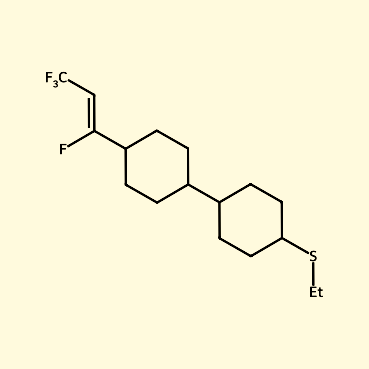 CCSC1CCC(C2CCC(/C(F)=C/C(F)(F)F)CC2)CC1